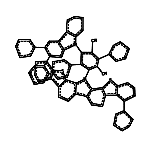 N#Cc1c(-c2ccccc2)c(C#N)c(-n2c3c(ccc4c5ccccc5sc43)c3ccc4c(sc5cccc(-c6ccccc6)c54)c32)c(-c2ccccc2)c1-n1c2ccccc2c2cc(-c3ccccc3)c(-c3ccccc3)cc21